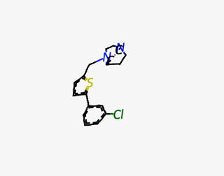 Clc1cccc(-c2ccc(CN3CCN4CCC3CC4)s2)c1